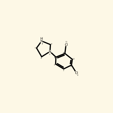 Clc1ccc(N2CCNC2)c(Cl)c1